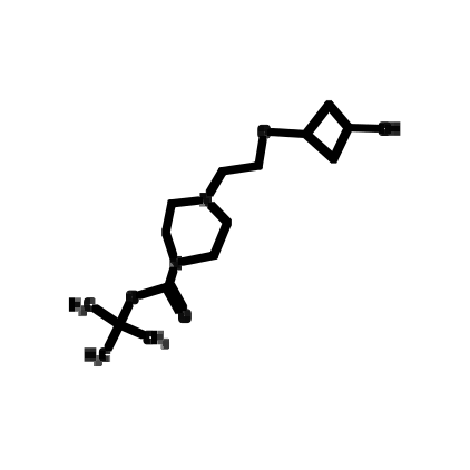 CC(C)(C)OC(=O)N1CCN(CCOC2CC(O)C2)CC1